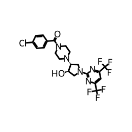 O=C(c1ccc(Cl)cc1)N1CCN([C@@H]2CN(c3nc(C(F)(F)F)cc(C(F)(F)F)n3)C[C@H]2O)CC1